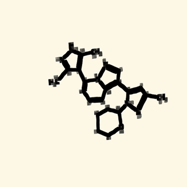 Cc1cc(-c2cnn3c(-c4c(C)n[nH]c4C)cccc23)n(C2CCCCO2)n1